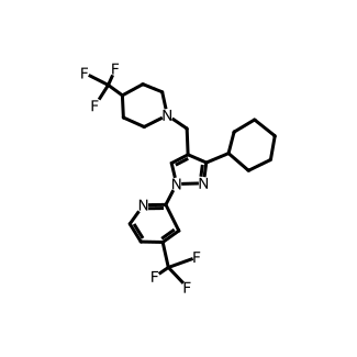 FC(F)(F)c1ccnc(-n2cc(CN3CCC(C(F)(F)F)CC3)c(C3CCCCC3)n2)c1